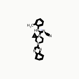 Cc1ccccc1N/C(=N/C#N)N1CCN(c2cnc3ccccc3n2)CC12CC2